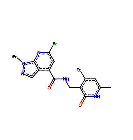 CCc1cc(C)[nH]c(=O)c1CNC(=O)c1cc(Br)nc2c1cnn2C(C)C